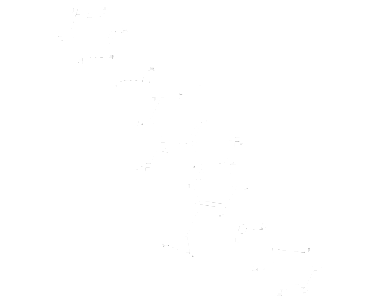 Cc1cc(-c2cc(C3CC3)c(OCc3ccccc3)cc2Br)c(F)cc1OCc1ccccc1